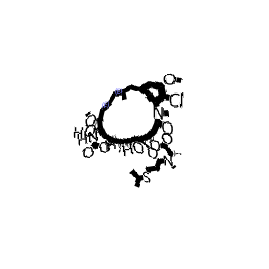 COc1cc2cc(c1Cl)N(C)C(=O)C[C@H](OC(=O)[C@H](C)N(C)C(=O)CCSC(C)C)[C@]1(C)O[C@H]1[C@H](C)[C@@H]1C[C@@](O)(NC(=O)O1)[C@H](OC)/C=C/C=C(\C)C2